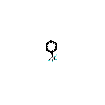 [F][Zn]([F])([F])([F])[c]1ccccc1